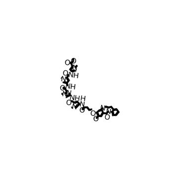 COC(=O)c1cc(NC(=O)c2cc(NC(=O)c3nc(NC(=O)c4cc(NC(=O)CCCOc5cc6c(cc5OC)C(=O)N5c7ccccc7CC5C=N6)cn4C)cn3C)cn2C)cn1C